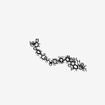 CCN(C)S(=O)(=O)Nc1ccc(F)c(C(=O)c2c[nH]c3ncc(-c4ccc(N5CCN(C(=O)CCN6CCC(c7ccc(OC8CCC(=O)NC8=O)cc7)CC6)CC5)nc4)cc23)c1F